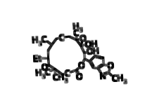 CCC1CC(C)CCCC2(C)OC2(O)C(O)C(c2ccc3oc(C)nc3c2)OC(=O)CCC(C)(C)C1=O